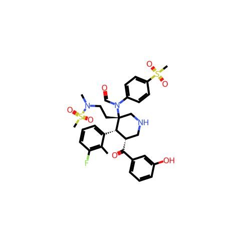 Cc1c(F)cccc1[C@H]1[C@@H](C(=O)c2cccc(O)c2)CNC[C@@]1(CCN(C)S(C)(=O)=O)N(C=O)c1ccc(S(C)(=O)=O)cc1